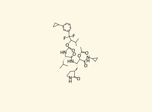 CC(=O)OC(C(=O)NC1CC1)[C@H](C[C@@H]1CCNC1=O)NC(=O)[C@H](CC(C)C)NC(=O)OC(C(C)C)C(F)(F)c1cccc(C2CC2)c1